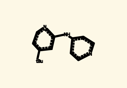 CC(C)(C)c1ccnc(Nc2ccncc2)c1